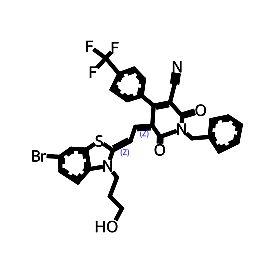 N#CC1=C(c2ccc(C(F)(F)F)cc2)/C(=C/C=C2\Sc3cc(Br)ccc3N2CCCO)C(=O)N(Cc2ccccc2)C1=O